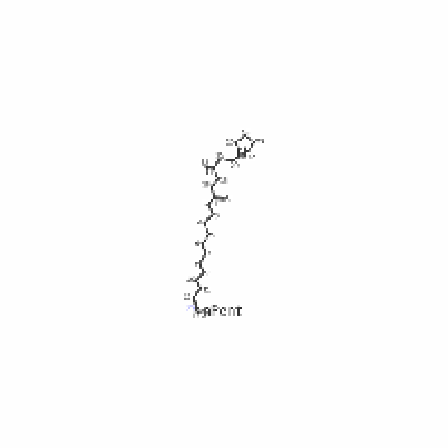 C=C(CCCCCCCCCC/C=C\CCCCC)CCC(C)CCN1CCCC1